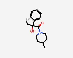 CC(C)CC(O)(C(=O)N1CCC(C)CC1)c1ccccc1